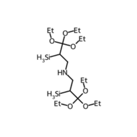 CCOC(OCC)(OCC)C([SiH3])CNCC([SiH3])C(OCC)(OCC)OCC